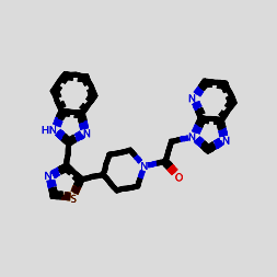 O=C(Cn1cnc2cccnc21)N1CCC(c2scnc2-c2nc3ccccc3[nH]2)CC1